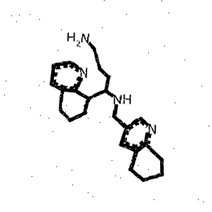 NCCCC(NCc1cnc2c(c1)CCCC2)C1CCCc2cccnc21